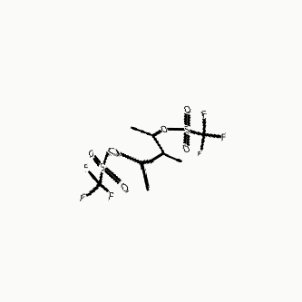 CC(OS(=O)(=O)C(F)(F)F)C(C)C(C)OS(=O)(=O)C(F)(F)F